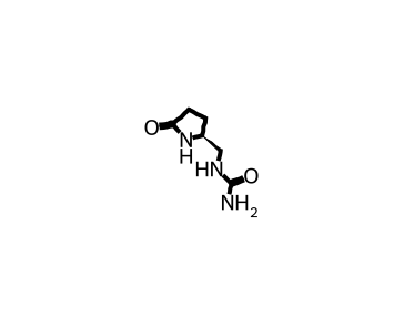 NC(=O)NC[C@@H]1CCC(=O)N1